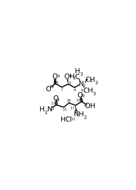 C[N+](C)(C)C[C@H](O)CC(=O)[O-].Cl.NC(=O)CC[C@H](N)C(=O)O